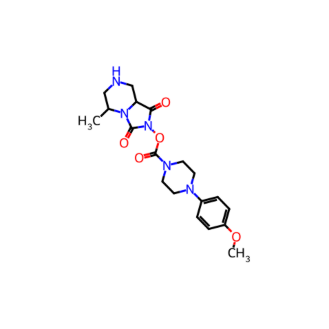 COc1ccc(N2CCN(C(=O)ON3C(=O)C4CNCC(C)N4C3=O)CC2)cc1